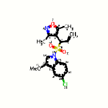 C=CC(c1c(C)noc1C)S(=O)(=O)n1cc(OC)c2cc(Cl)ccc21